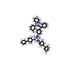 c1ccc(-c2ccc(-c3nc(-c4ccc(-c5ccccc5)cc4)nc(-c4ccc(-c5c6ccccc6n6c7ccccc7n(-c7ccccc7)c56)cc4)n3)cc2)cc1